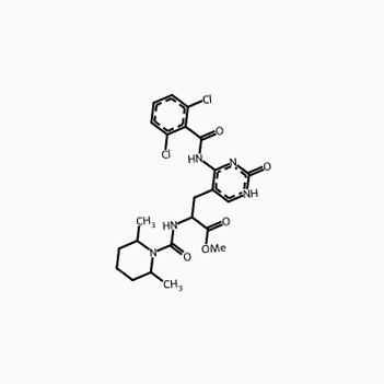 COC(=O)C(Cc1c[nH]c(=O)nc1NC(=O)c1c(Cl)cccc1Cl)NC(=O)N1C(C)CCCC1C